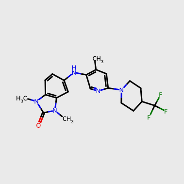 Cc1cc(N2CCC(C(F)(F)F)CC2)ncc1Nc1ccc2c(c1)n(C)c(=O)n2C